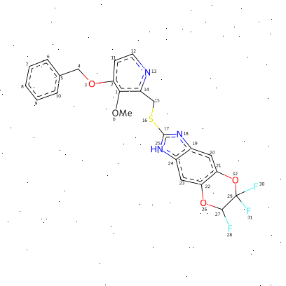 COc1c(OCc2ccccc2)ccnc1CSc1nc2cc3c(cc2[nH]1)OC(F)C(F)(F)O3